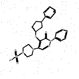 CC(C)S(=O)(=O)N1CCN(c2cnn(-c3ccccc3)c(=O)c2OC2CCC(c3ccccc3)C2)CC1